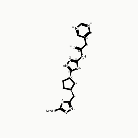 CC(=O)Nc1nnc(C[C@H]2CC[C@@H](c3nnc(NC(=O)Cc4cncnc4)s3)C2)s1